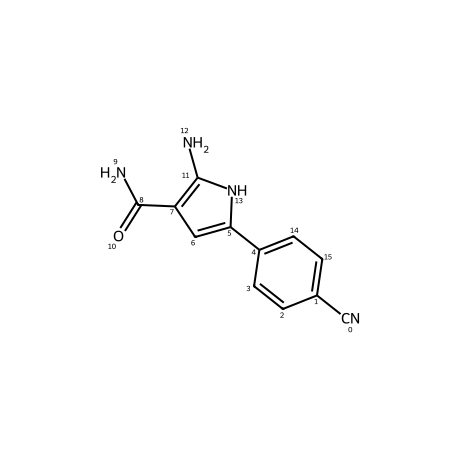 N#Cc1ccc(-c2cc(C(N)=O)c(N)[nH]2)cc1